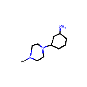 CC(=O)N1CCN(C2CCCC(N)C2)CC1